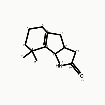 CC1(C)CCCC2=C1C1NC(=O)CC1C2